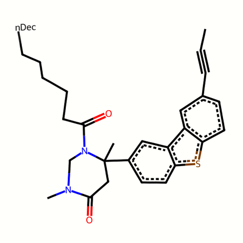 CC#Cc1ccc2sc3ccc(C4(C)CC(=O)N(C)CN4C(=O)CCCCCCCCCCCCCCC)cc3c2c1